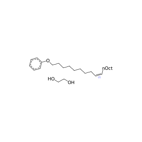 CCCCCCCC/C=C\CCCCCCCCOc1ccccc1.OCCO